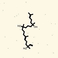 C=CC(C)(O)CC/C=C(\C)CCCC(C)(O)CCCC(C)(O)CCC=C(C)C